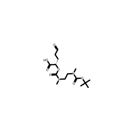 CN(CCN(C)C(=O)OC(C)(C)C)C(=O)O[C@@H](CCC=O)C(=O)O